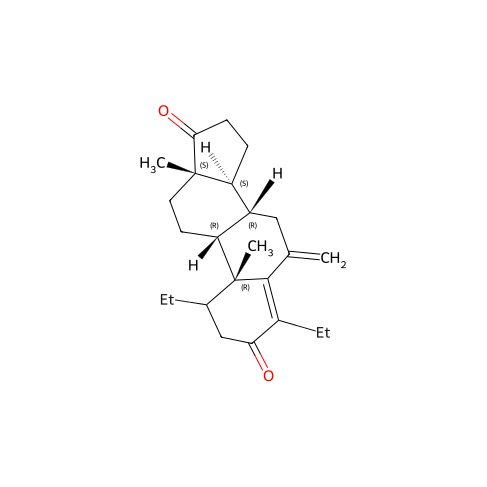 C=C1C[C@@H]2[C@@H](CC[C@]3(C)C(=O)CC[C@@H]23)[C@]2(C)C1=C(CC)C(=O)CC2CC